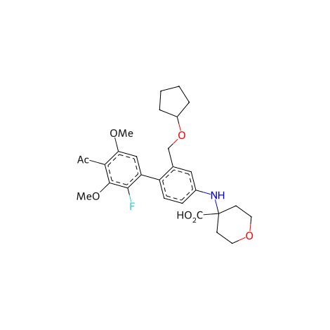 COc1cc(-c2ccc(NC3(C(=O)O)CCOCC3)cc2COC2CCCC2)c(F)c(OC)c1C(C)=O